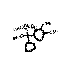 COc1ccc(C(OC)(c2ccccc2)N(OC)OC)c(OC)c1OC